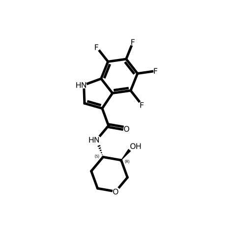 O=C(N[C@H]1CCOC[C@@H]1O)c1c[nH]c2c(F)c(F)c(F)c(F)c12